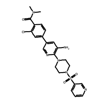 CN(C)C(=O)c1ccc(-c2cnc(N3CCN(S(=O)(=O)c4cccnc4)CC3)c(N)c2)cc1Cl